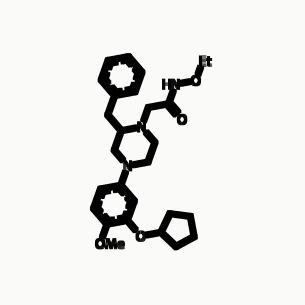 CCONC(=O)CN1CCN(c2ccc(OC)c(OC3CCCC3)c2)CC1Cc1ccccc1